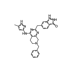 Cc1cc(Nc2nc(Cc3ccc4c(=O)[nH][nH]c4c3)nc3c2CCN(Cc2ccccc2)C3)n[nH]1